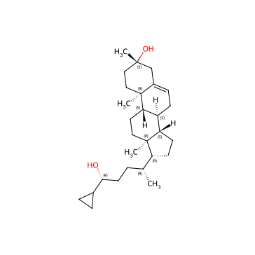 C[C@H](CC[C@@H](O)C1CC1)[C@H]1CC[C@H]2[C@@H]3CC=C4C[C@@](C)(O)CC[C@]4(C)[C@H]3CC[C@]12C